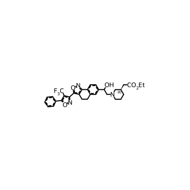 CCOC(=O)C[C@H]1CCCN(CC(O)c2ccc3c(c2)CCc2c-3noc2-c2noc(-c3ccccc3)c2C(F)(F)F)C1